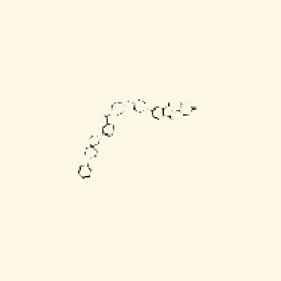 N#Cc1ccc(N2CCC3(CC2)CCN(c2cccc(C(=O)N4CCN(CC5CCN(c6ccc7c(c6)C(=O)N(C6CCC(=O)NC6=O)C7=O)CC5)CC4)c2)C3)cc1Cl